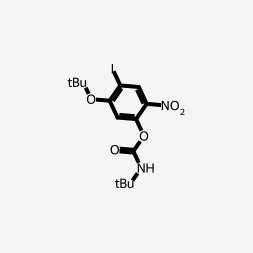 CC(C)(C)NC(=O)Oc1cc(OC(C)(C)C)c(I)cc1[N+](=O)[O-]